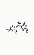 COc1ccc(C#CC(O)c2ccc(OC)cc2OC)c(OC)c1